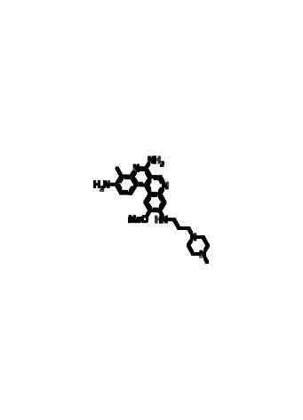 COc1cc2c(cc1NCCCN1CCN(C)CC1)ncc1c(N)nc3c(C)c(N)ccc3c12